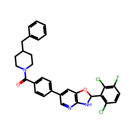 O=C(c1ccc(-c2cnc3c(c2)OC(c2c(Cl)ccc(F)c2Cl)N3)cc1)N1CCC(Cc2ccccc2)CC1